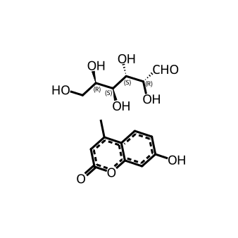 Cc1cc(=O)oc2cc(O)ccc12.O=C[C@H](O)[C@@H](O)[C@@H](O)[C@H](O)CO